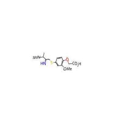 CNC(C)C(=N)CSc1ccc(OCC(=O)O)c(OC)c1